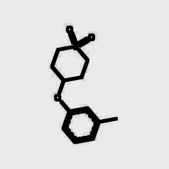 Cc1cccc(OC2CCS(=O)(=O)CC2)c1